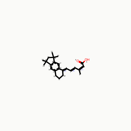 CC(=C/C(=O)O)/C=C/C=C1\CCCc2cc3c(cc21)C(C)(C)CC3(C)C